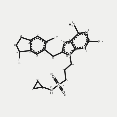 Nc1nc(F)nc2c1nc(Cc1cc3c(cc1I)CCC3F)n2CCCS(=O)(=O)NC1CC1